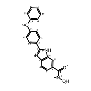 O=C(NO)c1ccc2nc(-c3ccc(Oc4ccccc4)cc3)[nH]c2c1